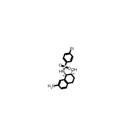 CCc1ccc(S(=O)(=O)N[C@@H]2c3cc(N)ccc3CC[C@H]2O)cc1